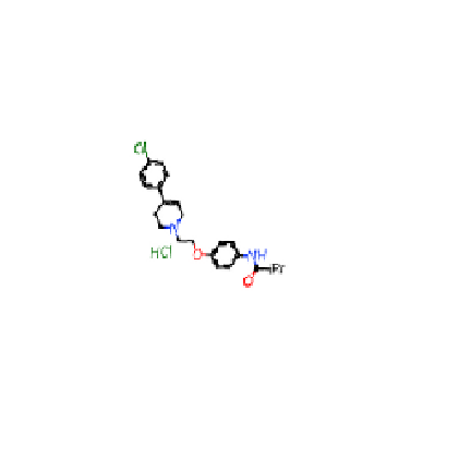 CC(C)C(=O)Nc1ccc(OCCN2CC=C(c3ccc(Cl)cc3)CC2)cc1.Cl